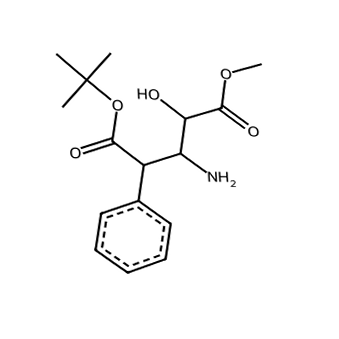 COC(=O)C(O)C(N)C(C(=O)OC(C)(C)C)c1ccccc1